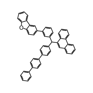 c1ccc(-c2ccc(-c3ccc(C(c4cccc(-c5ccc6oc7ccccc7c6c5)c4)c4cc5ccccc5c5ccccc45)cc3)cc2)cc1